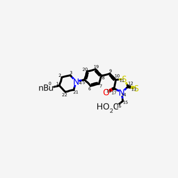 CCCCC1CCN(c2ccc(/C=C3/SC(=S)N(CC(=O)O)C3=O)cc2)CC1